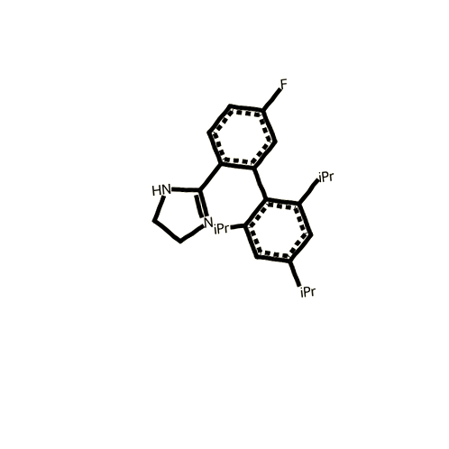 CC(C)c1cc(C(C)C)c(-c2cc(F)ccc2C2=NCCN2)c(C(C)C)c1